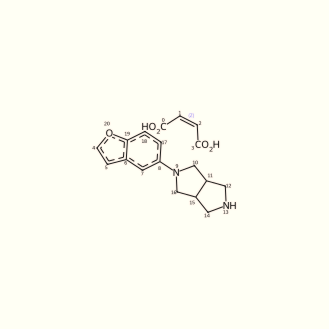 O=C(O)/C=C\C(=O)O.c1cc2cc(N3CC4CNCC4C3)ccc2o1